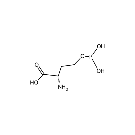 N[C@@H](CCOP(O)O)C(=O)O